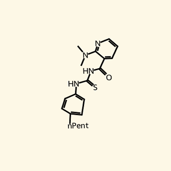 CCCCCc1ccc(NC(=S)NC(=O)c2cccnc2N(C)C)cc1